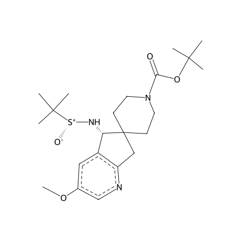 COc1cnc2c(c1)[C@H](N[S@+]([O-])C(C)(C)C)C1(CCN(C(=O)OC(C)(C)C)CC1)C2